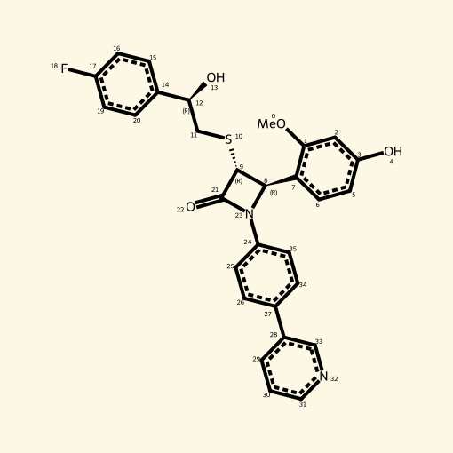 COc1cc(O)ccc1[C@@H]1[C@@H](SC[C@H](O)c2ccc(F)cc2)C(=O)N1c1ccc(-c2cccnc2)cc1